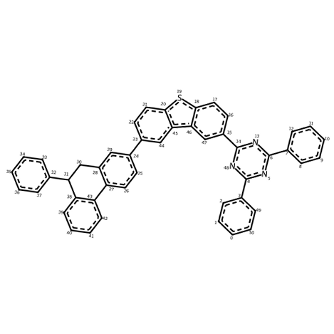 c1ccc(-c2nc(-c3ccccc3)nc(-c3ccc4sc5ccc(-c6ccc7c(c6)CC(c6ccccc6)c6ccccc6-7)cc5c4c3)n2)cc1